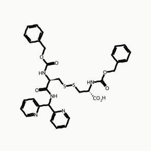 O=C(N[C@@H](CSSC[C@H](NC(=O)OCc1ccccc1)C(=O)NC(c1ccccn1)c1ccccn1)C(=O)O)OCc1ccccc1